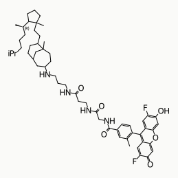 Cc1cc(C(=O)NCC(=O)NCCC(=O)NCCCNC2CCC3(C)CC(CCC3CCC3(C)CCCC3[C@H](C)CCCC(C)C)C2)ccc1-c1c2cc(F)c(=O)cc-2oc2cc(O)c(F)cc12